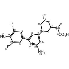 C[C@@H]1C[C@@H](N(C)C(=O)O)CN(c2cc(-c3cc(F)c(C#N)c(F)c3)nc(N)n2)C1